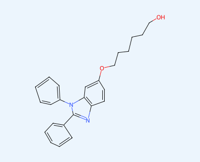 OCCCCCCOc1ccc2nc(-c3ccccc3)n(-c3ccccc3)c2c1